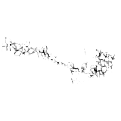 CN(Cc1cnc2nc(N)nc(N)c2n1)c1ccc(C(=O)N[C@H](CCC(=O)NCCOCCOCCOCCNC(=O)COc2ccc3c(c2)C(=O)N(C2CCC(=O)NC2=O)C3=O)C(=O)O)cc1